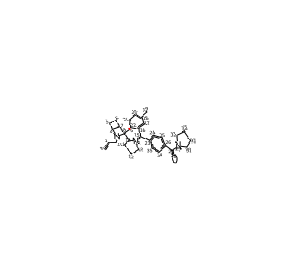 C=CCN1C2CCC2C1(C)C1CCCN1C(C1=CC(C)=CCC1)c1ccc(C(=O)N2CCCC2)cc1